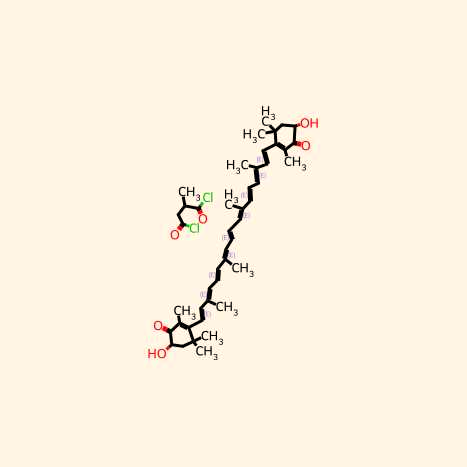 CC(CC(=O)Cl)C(=O)Cl.CC1=C(/C=C/C(C)=C/C=C/C(C)=C/C=C/C=C(C)/C=C/C=C(C)/C=C/C2=C(C)C(=O)C(O)CC2(C)C)C(C)(C)CC(O)C1=O